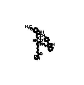 COc1ccc2[nH]c(C)c(CC(=O)NC(CCCCCC(=O)c3ncco3)C(=O)NCCc3c(-c4ccccc4)[nH]c4ccccc34)c2c1